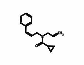 C=CCN(C/C=C\c1ccccc1)C(=O)C1CC1